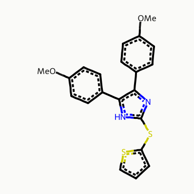 COc1ccc(-c2nc(Sc3cccs3)[nH]c2-c2ccc(OC)cc2)cc1